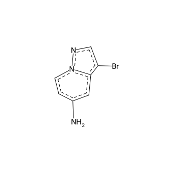 Nc1ccn2ncc(Br)c2c1